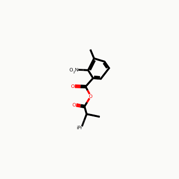 Cc1cccc(C(=O)OC(=O)C(C)C(C)C)c1[N+](=O)[O-]